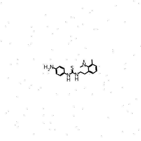 Cc1cccc(CCNC(=S)Nc2ccc(N)cc2)c1N(C)C